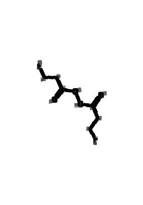 O=C(CCF)OOC(=O)CCF